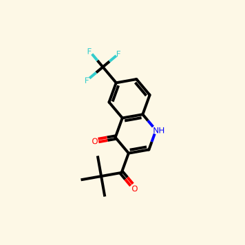 CC(C)(C)C(=O)c1c[nH]c2ccc(C(F)(F)F)cc2c1=O